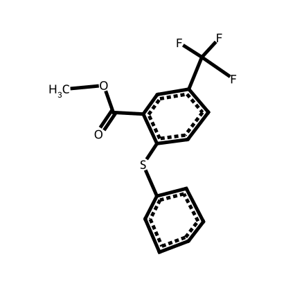 COC(=O)c1cc(C(F)(F)F)ccc1Sc1ccccc1